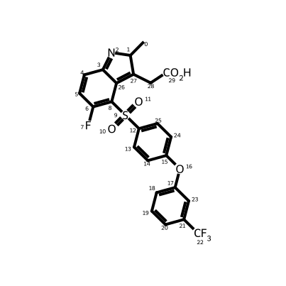 CC1N=c2ccc(F)c(S(=O)(=O)c3ccc(Oc4cccc(C(F)(F)F)c4)cc3)c2=C1CC(=O)O